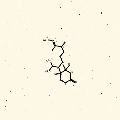 C=C1CCC(C)(C(CCCC(C)/C(C)=N/OC(C)=O)C(CCC)C(C)CC)C(C)(C)C1